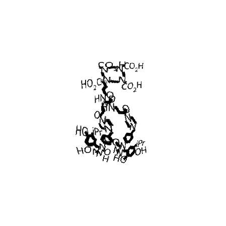 CC(C)c1cc(-c2nnc(O)n2-c2ccc(CN3CCN(C(=O)CCNC(=O)[C@@H](CCC(=O)N4CCN(Cc5ccc(-n6c(O)nnc6-c6cc(C(C)C)c(O)cc6O)cc5)CC4)NC(=O)CC[C@H](C(=O)O)N4CCN(CC(=O)O)CCN(CC(=O)O)CCN(CC(=O)O)CC4)CC3)cc2)c(O)cc1O